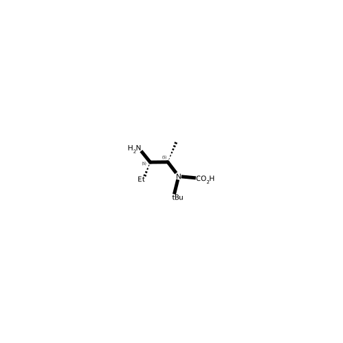 CC[C@H](N)[C@H](C)N(C(=O)O)C(C)(C)C